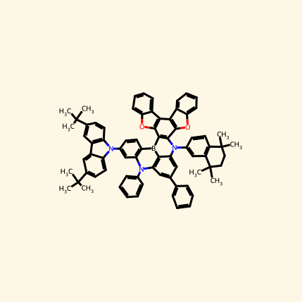 CC(C)(C)c1ccc2c(c1)c1cc(C(C)(C)C)ccc1n2-c1ccc2c(c1)N(c1ccccc1)c1cc(-c3ccccc3)cc3c1B2c1c(c2oc4ccccc4c2c2c1oc1ccccc12)N3c1ccc2c(c1)C(C)(C)CCC2(C)C